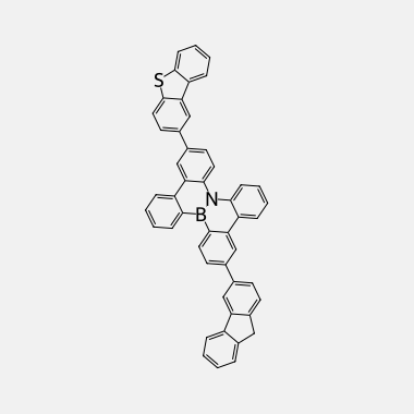 c1ccc2c(c1)Cc1ccc(-c3ccc4c(c3)-c3ccccc3N3B4c4ccccc4-c4cc(-c5ccc6sc7ccccc7c6c5)ccc43)cc1-2